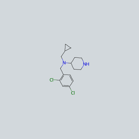 Clc1ccc(CN(CC2CC2)C2CCNCC2)c(Cl)c1